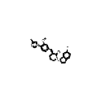 COc1cc(/C=C2\CCCN([C@H]3CCc4ccc(F)cc43)C2=O)ccc1-n1cnc(C)c1